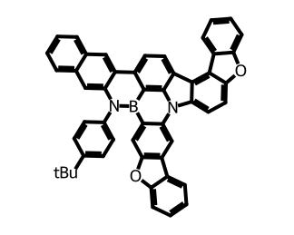 CC(C)(C)c1ccc(N2B3c4cc5oc6ccccc6c5cc4-n4c5ccc6oc7ccccc7c6c5c5ccc(c3c54)-c3cc4ccccc4cc32)cc1